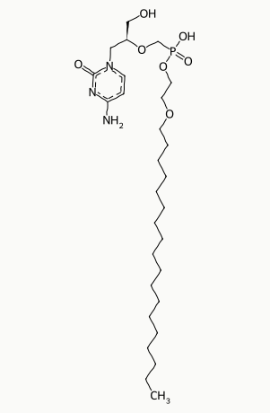 CCCCCCCCCCCCCCCCCCOCCOP(=O)(O)CO[C@H](CO)Cn1ccc(N)nc1=O